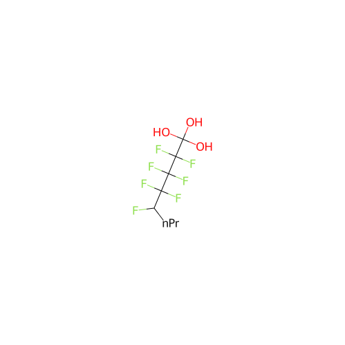 CCCC(F)C(F)(F)C(F)(F)C(F)(F)C(O)(O)O